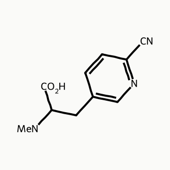 CNC(Cc1ccc(C#N)nc1)C(=O)O